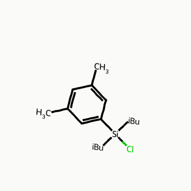 CCC(C)[Si](Cl)(c1cc(C)cc(C)c1)C(C)CC